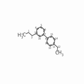 CCCc1cccc(-c2ccc(CC)cc2)c1